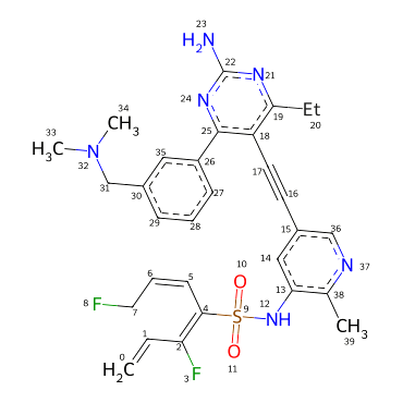 C=C/C(F)=C(\C=C/CF)S(=O)(=O)Nc1cc(C#Cc2c(CC)nc(N)nc2-c2cccc(CN(C)C)c2)cnc1C